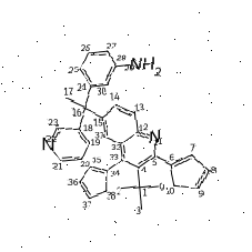 CC(C)(C)c1c(C2=CC=CC2)nc2ccc(C(C)(c3cccnc3)c3cccc(N)c3)cc2c1C1=CC=CC1